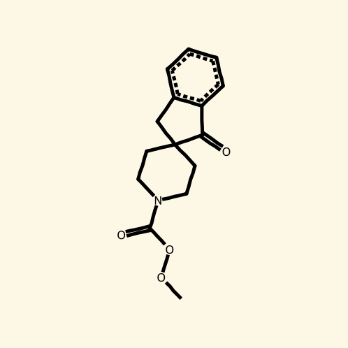 COOC(=O)N1CCC2(CC1)Cc1ccccc1C2=O